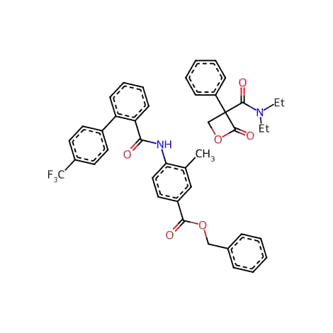 CCN(CC)C(=O)C1(c2ccccc2)COC1=O.Cc1cc(C(=O)OCc2ccccc2)ccc1NC(=O)c1ccccc1-c1ccc(C(F)(F)F)cc1